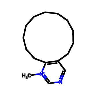 C[n+]1cncc2c1CCCCCCCCCCC2